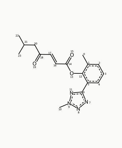 Cc1cccc(-c2nnn(C)n2)c1OC(=O)C=CC(=O)CC(C)C